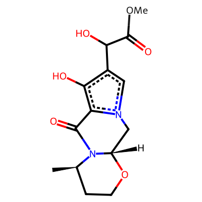 COC(=O)C(O)c1cn2c(c1O)C(=O)N1[C@H](C)CCO[C@H]1C2